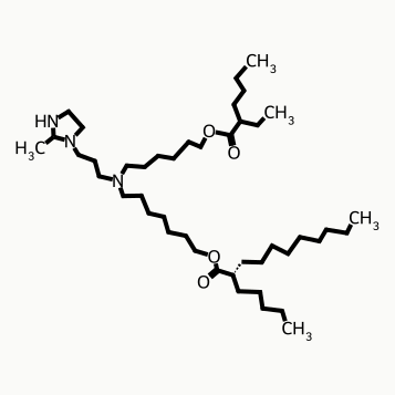 CCCCCCCCC[C@H](CCCCC)C(=O)OCCCCCCCN(CCCCCCOC(=O)C(CC)CCCC)CCCN1CCNC1C